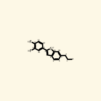 CCCc1ccc2cc(-c3ccc(F)c(F)c3)sc2c1